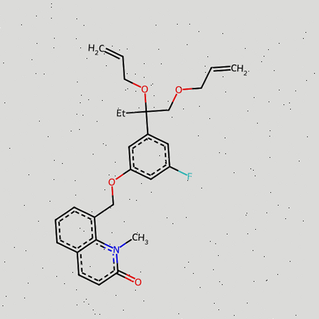 C=CCOCC(CC)(OCC=C)c1cc(F)cc(OCc2cccc3ccc(=O)n(C)c23)c1